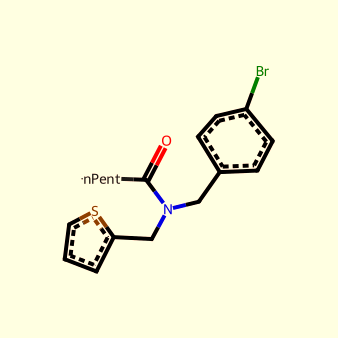 CCCC[CH]C(=O)N(Cc1ccc(Br)cc1)Cc1cccs1